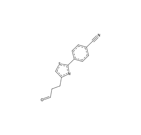 N#Cc1ccc(-c2nc(CCC=O)cs2)cc1